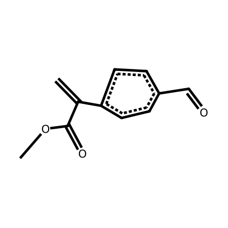 C=C(C(=O)OC)c1ccc(C=O)cc1